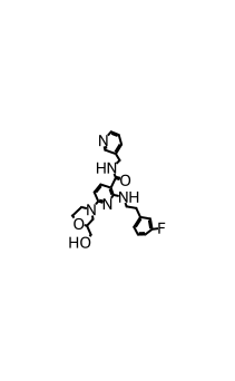 O=C(NCc1cccnc1)c1ccc(N2CCOC(CO)C2)nc1NCCc1cccc(F)c1